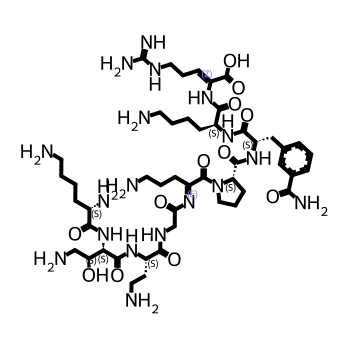 N=C(N)NCC/C=C(\NC(=O)[C@H](CCCCN)NC(=O)[C@H](Cc1cccc(C(N)=O)c1)NC(=O)[C@@H]1CCCN1C(=O)/C(CCCN)=N/C(=O)CNC(=O)[C@H](CCN)NC(=O)[C@@H](NC(=O)[C@@H](N)CCCCN)[C@@H](O)CN)C(=O)O